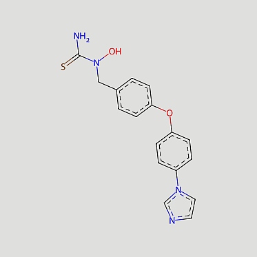 NC(=S)N(O)Cc1ccc(Oc2ccc(-n3ccnc3)cc2)cc1